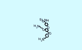 CCOC(=N)c1ccc(Oc2cc(OCCCN)cc(C(=O)N3CCC(CCN)CC3)c2)cc1